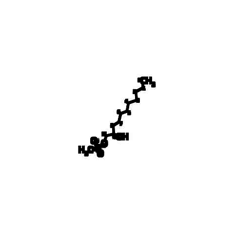 CCCCCCCCCC(O)COS(C)(=O)=O